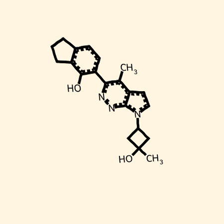 Cc1c(-c2ccc3c(c2O)CCC3)nnc2c1ccn2C1CC(C)(O)C1